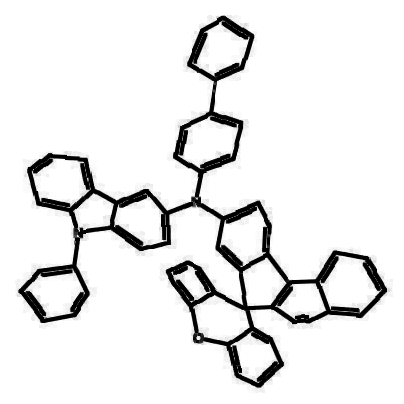 c1ccc(-c2ccc(N(c3ccc4c(c3)C3(c5ccccc5Oc5ccccc53)c3ccc5ccccc5c3-4)c3ccc4c(c3)c3ccccc3n4-c3ccccc3)cc2)cc1